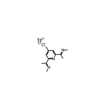 CN=C(C)c1cc(C)cc(C(C)=NC)n1.[Cl-].[Cl-].[Fe+2]